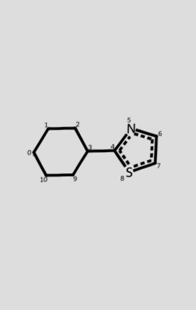 [CH]1CCC(c2nccs2)CC1